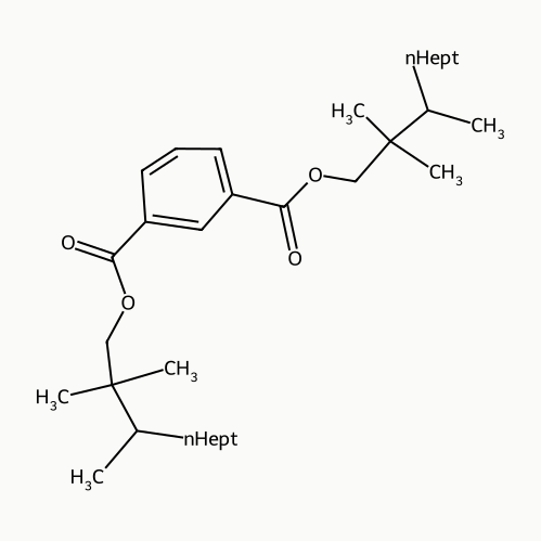 CCCCCCCC(C)C(C)(C)COC(=O)c1cccc(C(=O)OCC(C)(C)C(C)CCCCCCC)c1